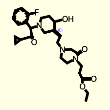 CCOC(=O)CCN1CCN(C/C=C2\CN(C(C(=O)C3CC3)c3ccccc3F)CCC2O)CC1=O